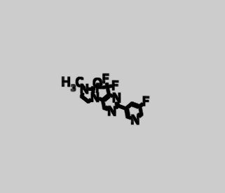 CN1CCN(c2cnc(-c3cncc(F)c3)nc2C(F)(F)F)C1=O